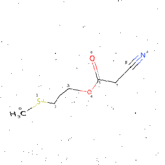 CSCCOC(=O)CC#N